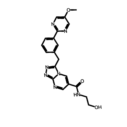 COc1cnc(-c2cccc(Cc3nnc4ncc(C(=O)NCCO)cn34)c2)nc1